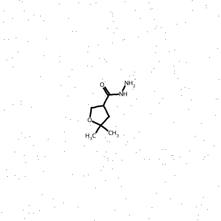 CC1(C)CC(C(=O)NN)CO1